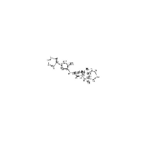 Clc1sc(-c2ccccc2)nc1CNC[C@@H]1C[C@@H]2CCCC[C@@H]2N1